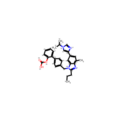 CCCc1nc2c(C)cc(-c3cn(C(C)C)cn3)cc2n1Cc1ccc(-c2ccccc2OC(=O)O)cc1